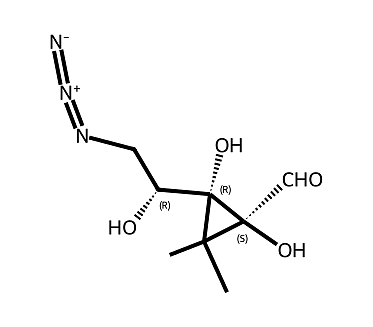 CC1(C)[C@@](O)(C=O)[C@]1(O)[C@H](O)CN=[N+]=[N-]